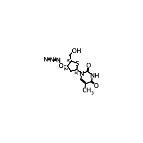 Cc1cn([C@H]2C[C@H](ON=[N+]=[N-])[C@@H](CO)S2)c(=O)[nH]c1=O